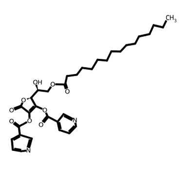 CCCCCCCCCCCCCCCC(=O)OC[C@H](O)[C@H]1OC(=O)C(OC(=O)c2cccnc2)=C1OC(=O)c1cccnc1